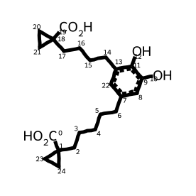 O=C(O)C1(CCCCCc2cc(O)c(O)c(CCCCC3(C(=O)O)CC3)c2)CC1